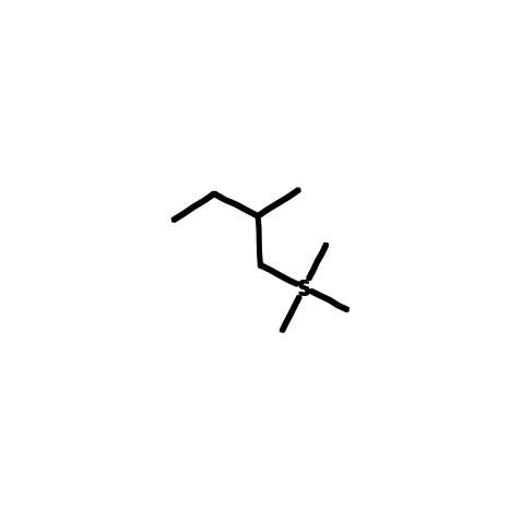 CCC(C)CS(C)(C)C